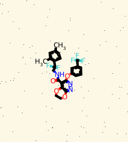 Cc1ccc(C(F)(F)CNC(=O)c2c(Oc3cccc(C(F)(F)F)c3)nnc3c2OCCO3)c(C)c1